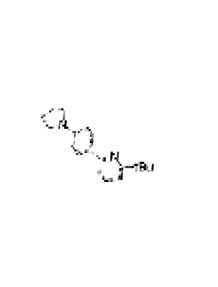 CC(C)(C)c1cccc(-c2ccc(N3CCCC3)cc2)n1